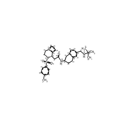 Cc1ccc(S(=O)(=O)N2CCn3cccc3C2CC(=O)NC2CCc3cc(CNC(C)(C)C)ccc3C2)cc1